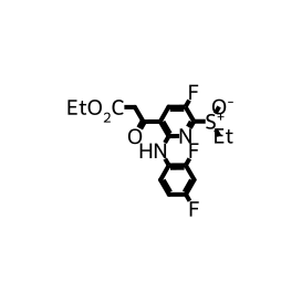 CCOC(=O)CC(=O)c1cc(F)c([S+]([O-])CC)nc1Nc1ccc(F)cc1F